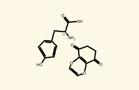 N[C@@H](Cc1ccc(O)cc1)C(=O)O.O=C1CCC(=O)C2=C1OC=CO2